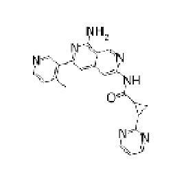 Cc1ccncc1-c1cc2cc(NC(=O)C3CC3c3ncccn3)ncc2c(N)n1